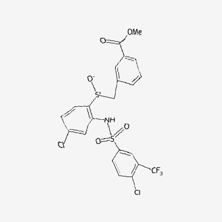 COC(=O)c1cccc(C[S+]([O-])c2ccc(Cl)cc2NS(=O)(=O)c2ccc(Cl)c(C(F)(F)F)c2)c1